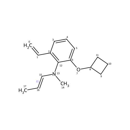 C=Cc1cccc(OC2CCC2)c1N(C)/C=C/C